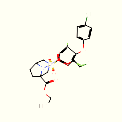 CCOC(=O)C12CCC(CN(C(=O)OCCCl)C1)N2S(=O)(=O)c1cc(F)c(Oc2ccc(Cl)cc2)c(F)c1